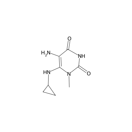 Cn1c(NC2CC2)c(N)c(=O)[nH]c1=O